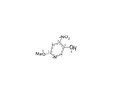 COc1cc([N+](=O)[O-])c(O)cn1